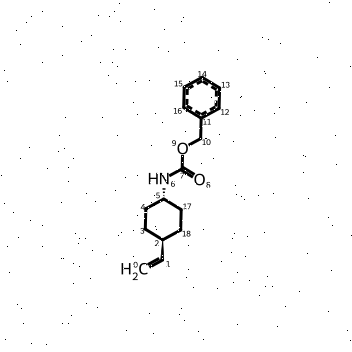 C=C[C@H]1CC[C@H](NC(=O)OCc2ccccc2)CC1